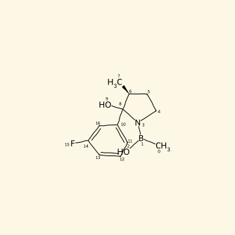 CB(O)N1CC[C@H](C)C1(O)c1cccc(F)c1